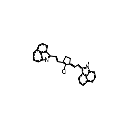 Cn1/c(=C/C=C2\CCC(/C=C/C3=Nc4cccc5cccc3c45)=C2Cl)c2cccc3cccc1c32